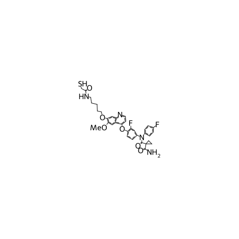 COc1cc2c(Oc3ccc(N(C(=O)C4(C(N)=O)CC4)c4ccc(F)cc4)cc3F)ccnc2cc1OCCCCCNC(=O)CS